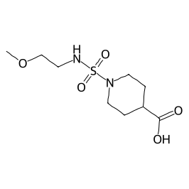 COCCNS(=O)(=O)N1CCC(C(=O)O)CC1